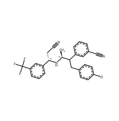 C[C@H](N[C@@H](CC#N)c1cccc(C(F)(F)F)c1)C(Cc1ccc(Cl)cc1)c1cccc(C#N)c1